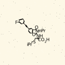 CCCN(C(=O)N[C@@H](CSCC(C)C)C(=O)O)C(=O)c1cccc(C#Cc2cccc(F)c2)c1